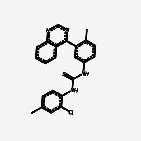 Cc1ccc(NC(=S)Nc2ccc(C)c(-c3ncnc4ccccc34)c2)c(Cl)c1